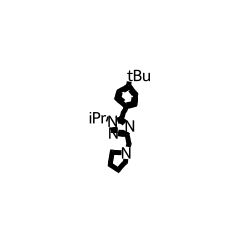 CC(C)n1nc(CN2CCCC2)nc1-c1ccc(C(C)(C)C)cc1